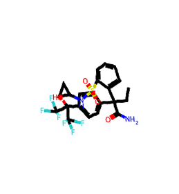 CCC(C(N)=O)(c1ccc(C(O)(C(F)(F)F)C(F)(F)F)cc1)c1ccccc1S(=O)(=O)NC1CC1